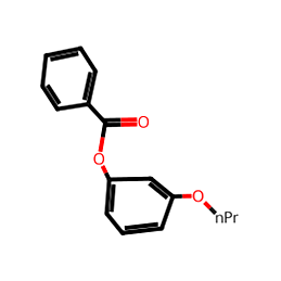 CCCOc1cccc(OC(=O)c2ccccc2)c1